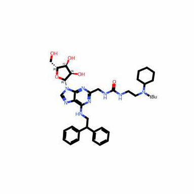 CC(C)(C)N(CCNC(=O)NCc1nc(NCC(c2ccccc2)c2ccccc2)c2ncn([C@@H]3O[C@H](CO)[C@@H](O)[C@H]3O)c2n1)C1CCCCC1